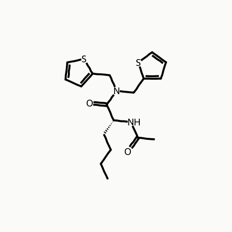 CCCC[C@@H](NC(C)=O)C(=O)N(Cc1cccs1)Cc1cccs1